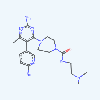 Cc1nc(N)nc(N2CCN(C(=O)NCCN(C)C)CC2)c1-c1ccc(N)nc1